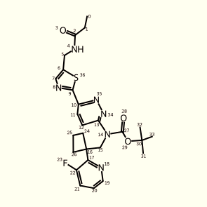 CCC(=O)NCc1cnc(-c2ccc(N(CC3(c4ncccc4F)CCC3)C(=O)OC(C)(C)C)nn2)s1